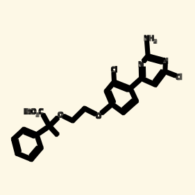 CCOC(=O)C(C)(OCCOc1ccc(-c2cc(Cl)nc(N)n2)c(Cl)c1)c1ccccc1